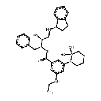 CCNc1cc(C(=O)N[C@@H](Cc2ccccc2)[C@@H](O)CN[C@@H]2CCc3ccccc32)cc(N2CCCCS2(O)O)c1